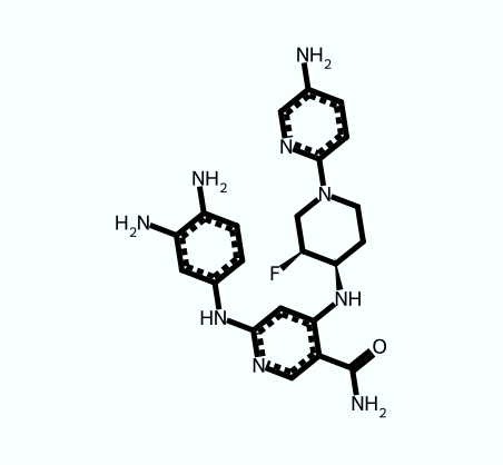 NC(=O)c1cnc(Nc2ccc(N)c(N)c2)cc1N[C@@H]1CCN(c2ccc(N)cn2)C[C@@H]1F